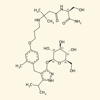 Cc1cc(OCCCNC(C)(C)CC(=O)N[C@@H](CO)C(N)=O)ccc1Cc1c(O[C@@H]2O[C@H](CO)[C@@H](O)[C@H](O)[C@H]2O)n[nH]c1C(C)C